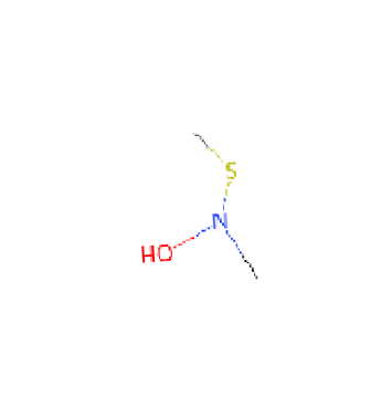 CSN(C)O